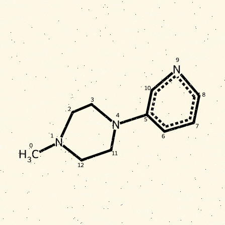 CN1CCN(c2cc[c]nc2)CC1